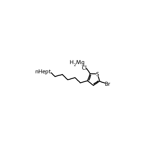 CCCCCCCCCCCCc1cc(Br)sc1Cl.[MgH2]